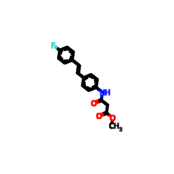 COC(=O)CC(=O)Nc1ccc(C=Cc2ccc(F)cc2)cc1